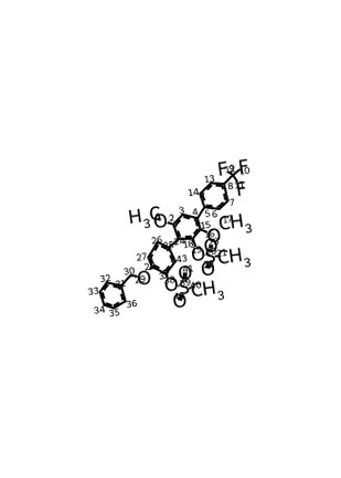 COc1cc(-c2ccc(C(F)(F)F)cc2)c(OC)c(OS(C)(=O)=O)c1-c1ccc(OCc2ccccc2)c(OS(C)(=O)=O)c1